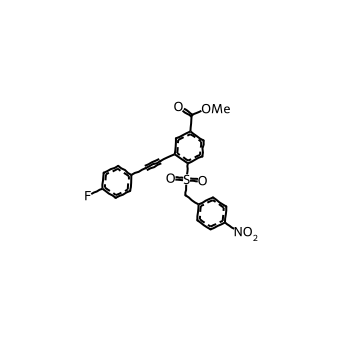 COC(=O)c1ccc(S(=O)(=O)Cc2ccc([N+](=O)[O-])cc2)c(C#Cc2ccc(F)cc2)c1